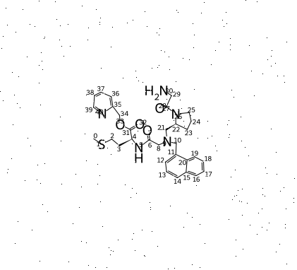 CSCC[C@H](NC(=O)CN(Cc1cccc2ccccc12)C[C@@H]1CCCN1C(=O)CN)C(=O)OCc1ccccn1